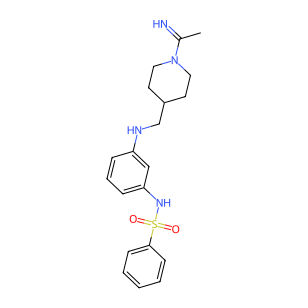 CC(=N)N1CCC(CNc2cccc(NS(=O)(=O)c3ccccc3)c2)CC1